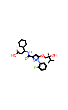 CC(C)[C@@](C)(O)COc1cc(C(=O)NC(CC(=O)O)C2CCCCC2)nn1-c1ccccc1F